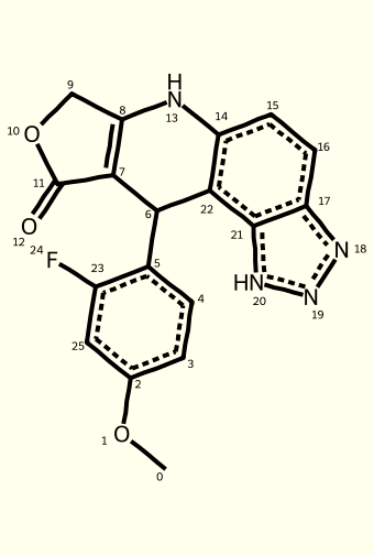 COc1ccc(C2C3=C(COC3=O)Nc3ccc4nn[nH]c4c32)c(F)c1